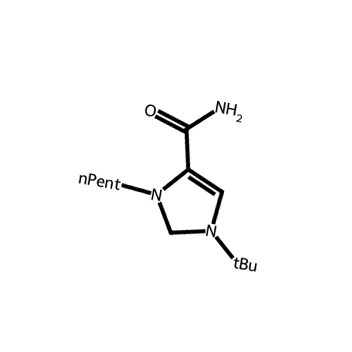 CCCCCN1CN(C(C)(C)C)C=C1C(N)=O